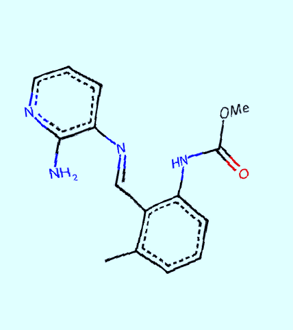 COC(=O)Nc1cccc(C)c1C=Nc1cccnc1N